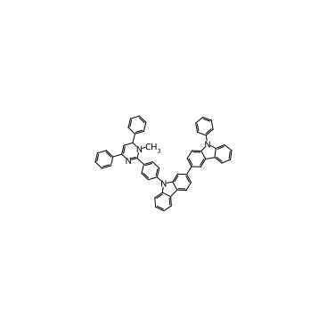 CN1C(c2ccc(-n3c4ccccc4c4ccc(-c5ccc6c(c5)c5ccccc5n6-c5ccccc5)cc43)cc2)=NC(c2ccccc2)=CC1c1ccccc1